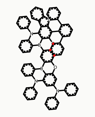 c1ccc(-c2cccc(-c3ccccc3)c2-c2c3c4c(c5c2oc2ccccc25)N(c2ccccc2)c2ccccc2B4c2cc4c(cc2O3)Oc2cc(N(c3ccccc3)c3ccccc3)cc3c2B4c2ccccc2N3c2ccccc2)cc1